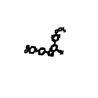 COc1ncc(-c2cc(C#N)c3ncc(-c4ccc(N5CCS(=O)(=O)CC5)cc4)n3c2)cn1